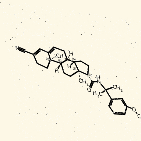 COc1cccc(C(C)(C)NC(=O)[C@H]2CC[C@H]3[C@@H]4CC=C5C=C(C#N)CC[C@]5(C)[C@H]4CC[C@]23C)c1